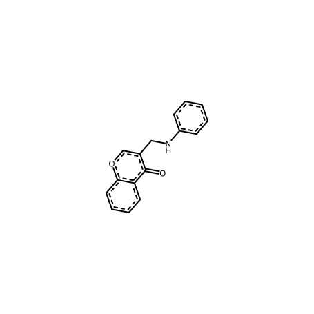 O=c1c(CNc2ccccc2)coc2ccccc12